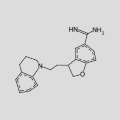 N=C(N)c1ccc2c(c1)C(CCN1CCCc3ccccc31)CO2